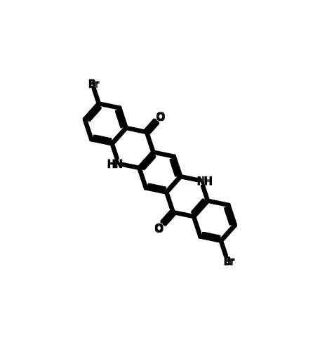 O=c1c2cc(Br)ccc2[nH]c2cc3c(=O)c4cc(Br)ccc4[nH]c3cc12